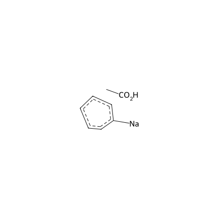 CC(=O)O.[Na][c]1ccccc1